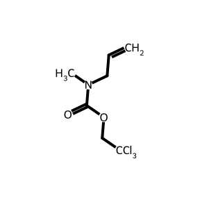 C=CCN(C)C(=O)OCC(Cl)(Cl)Cl